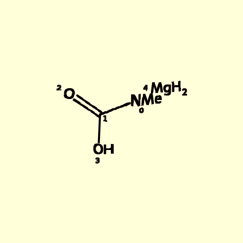 CNC(=O)O.[MgH2]